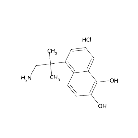 CC(C)(CN)c1cccc2c(O)c(O)ccc12.Cl